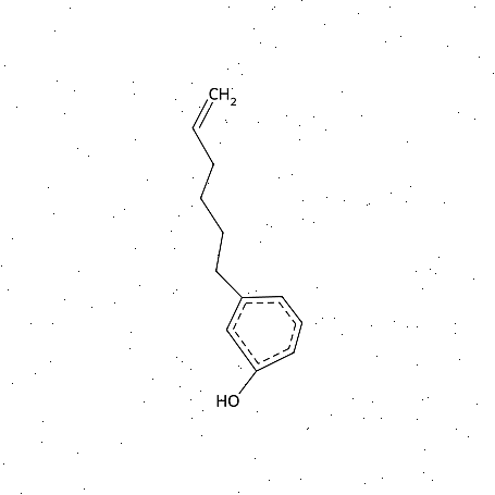 C=CCCCCc1cccc(O)c1